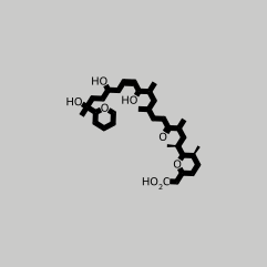 CC(CCC(=O)C(C)C[C@H](C)C1OC(CC(=O)O)CC[C@@H]1C)CC(C)C(O)/C=C\CC(O)CCC(C)(O)C1CCCCO1